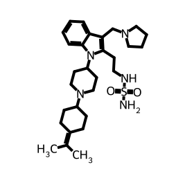 CC(C)=C1CCC(N2CCC(n3c(CCNS(N)(=O)=O)c(CN4CCCC4)c4ccccc43)CC2)CC1